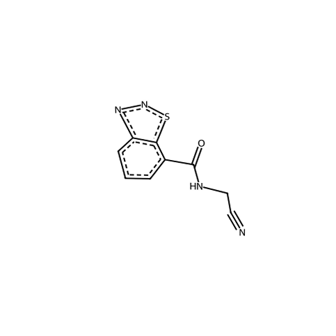 N#CCNC(=O)c1cccc2nnsc12